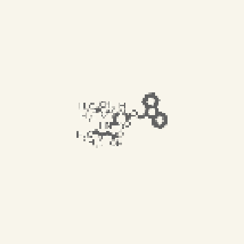 CC[C@H](C)[C@H](NC(=O)[C@H](COC(C)(C)C)NC(=O)OCC1c2ccccc2-c2ccccc21)C(=O)O